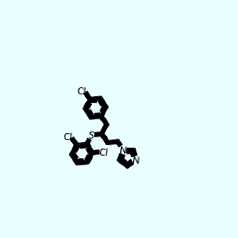 Clc1ccc(CC(CCn2ccnc2)Sc2c(Cl)cccc2Cl)cc1